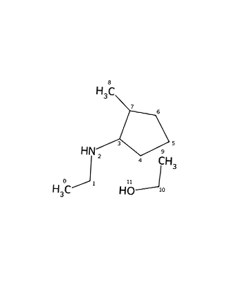 CCNC1CCCC1C.CCO